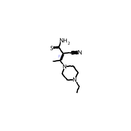 CCN1CCN(/C(C)=C(\C#N)C(N)=S)CC1